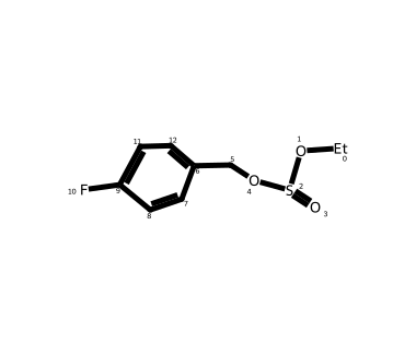 CCOS(=O)OCc1ccc(F)cc1